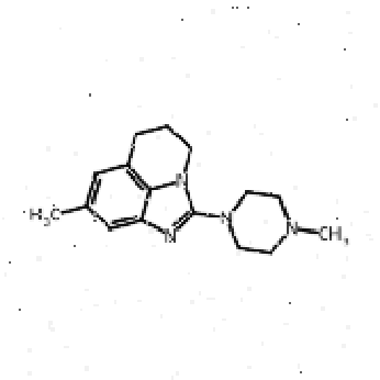 Cc1cc2c3c(c1)nc(N1CCN(C)CC1)n3CCC2